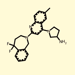 Cc1ccc2nc(N3CCC(F)(F)c4ccccc4C3)cc(N3CCC(N)C3)c2c1